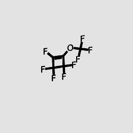 FC1=C(OC(F)(F)F)C(F)(F)C1(F)F